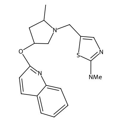 CNc1ncc(CN2CC(Oc3ccc4ccccc4n3)CC2C)s1